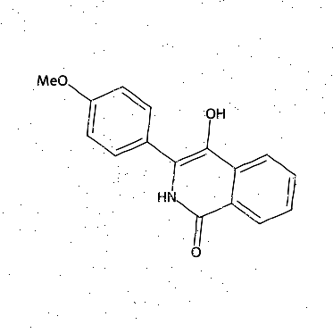 COc1ccc(-c2[nH]c(=O)c3ccccc3c2O)cc1